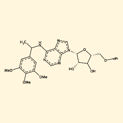 CCCOC[C@H]1O[C@@H](n2cnc3c(NC(C)c4cc(OC)c(OC)c(OC)c4)ncnc32)[C@@H](O)C1O